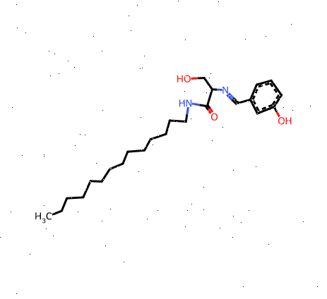 CCCCCCCCCCCCCCNC(=O)C(CO)N=Cc1cccc(O)c1